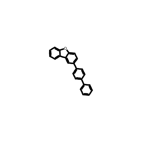 c1ccc(-c2ccc(-c3ccc4oc5ccccc5c4c3)cc2)cc1